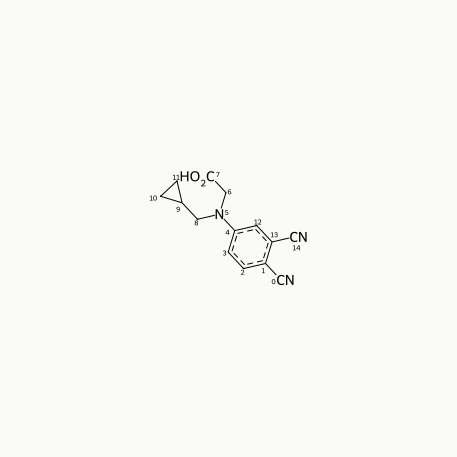 N#Cc1ccc(N(CC(=O)O)CC2CC2)cc1C#N